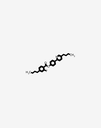 CCCCc1ccc(-c2ccc(OC(=O)c3ccc(CCCC)cc3F)cc2)nc1